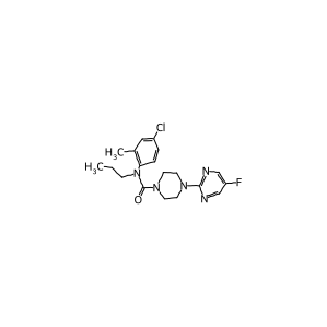 CCCN(C(=O)N1CCN(c2ncc(F)cn2)CC1)c1ccc(Cl)cc1C